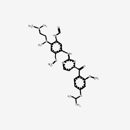 COc1cc(N(C)CCN(C)C)c(NC=O)cc1Nc1nccc(C(=O)c2ccc(OC(C)C)cc2OC)n1